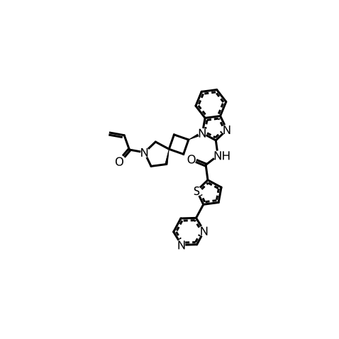 C=CC(=O)N1CC[C@]2(C1)C[C@H](n1c(NC(=O)c3ccc(-c4ccncn4)s3)nc3ccccc31)C2